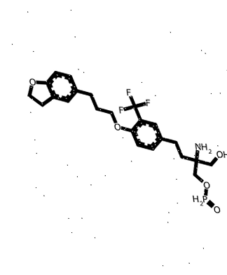 NC(CO)(CCc1ccc(OCCCc2ccc3c(c2)CCO3)c(C(F)(F)F)c1)CO[PH2]=O